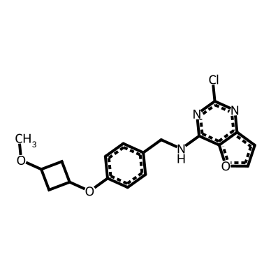 COC1CC(Oc2ccc(CNc3nc(Cl)nc4ccoc34)cc2)C1